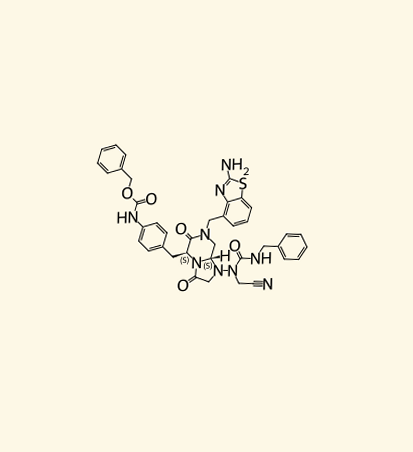 N#CCN(C(=O)NCc1ccccc1)N1CC(=O)N2[C@@H](Cc3ccc(NC(=O)OCc4ccccc4)cc3)C(=O)N(Cc3cccc4sc(N)nc34)C[C@@H]21